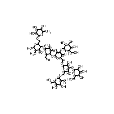 CC1OC(OCC2OC(O)C(C)C(O)C2OC2OC(CO)C(OC3OC(COC4OC(COC5OC(CO)C(O)C(O)C5O)C(O)C(OC5OC(CO)C(O)C(O)C5O)C4O)C(O)C(OC4OC(CO)C(O)C(O)C4O)C3O)C(O)[C@@H]2C)C(O)C(O)C1O